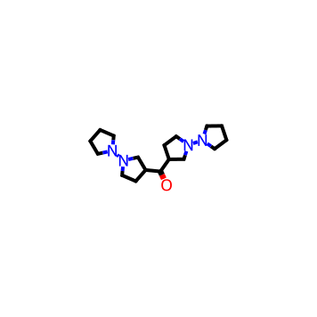 O=C(C1CCN(N2CCCC2)C1)C1CCN(N2CCCC2)C1